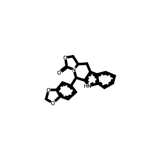 O=C1OCC2Cc3c([nH]c4ccccc34)C(c3ccc4c(c3)OCO4)N12